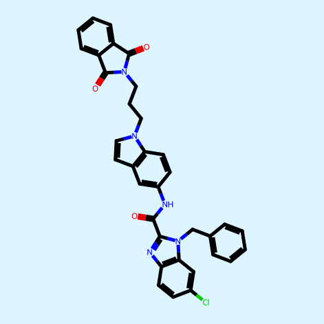 O=C(Nc1ccc2c(ccn2CCCN2C(=O)c3ccccc3C2=O)c1)c1nc2ccc(Cl)cc2n1Cc1ccccc1